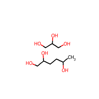 CC(O)CCC(O)CO.OCC(O)CO